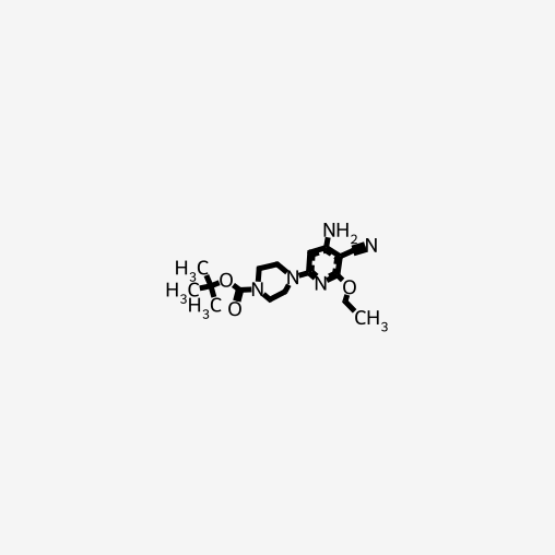 CCOc1nc(N2CCN(C(=O)OC(C)(C)C)CC2)cc(N)c1C#N